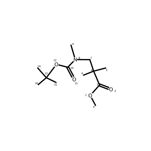 COC(=O)C(C)(C)CN(C)C(=O)OC(C)(C)C